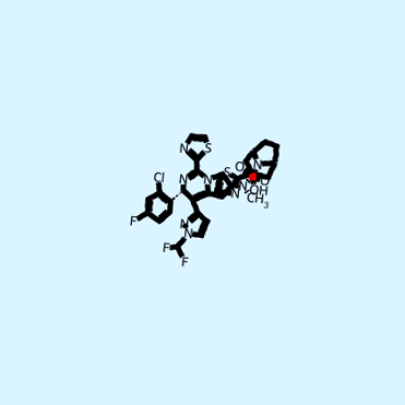 CN([C@H]1CC2=C(c3ccn(C(F)F)n3)[C@H](c3ccc(F)cc3Cl)N=C(c3nccs3)N2C1)S(=O)(=O)N1C2CCC1CC(O)(c1nccs1)C2